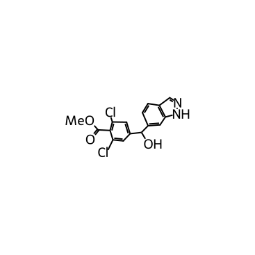 COC(=O)c1c(Cl)cc(C(O)c2ccc3cn[nH]c3c2)cc1Cl